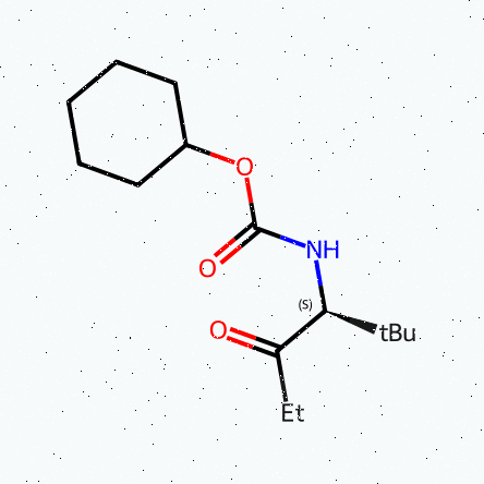 CCC(=O)[C@@H](NC(=O)OC1CCCCC1)C(C)(C)C